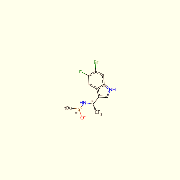 CC(C)(C)[S@+]([O-])N[C@@H](c1c[nH]c2cc(Br)c(F)cc12)C(F)(F)F